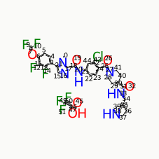 Cn1c(-c2ccc(OC(F)F)c(F)c2F)cnc1C(=O)Nc1ccc(C(=O)N2CCC(C(=O)NC[C@H]3CCNC3)CC2)c(Cl)c1.O=C(O)C(F)(F)F